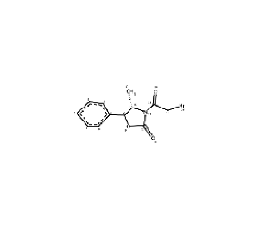 C[C@H]1C(c2ccccc2)OC(=O)N1C(=O)CBr